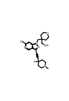 CN1CCC(F)(C#Cc2nn(CC3(CO)CCOCC3)c3cc(Cl)ncc23)CC1